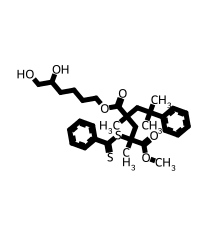 COC(=O)C(C)(CC(C)(CC(C)(C)c1ccccc1)C(=O)OCCCCC(O)CO)SC(=S)c1ccccc1